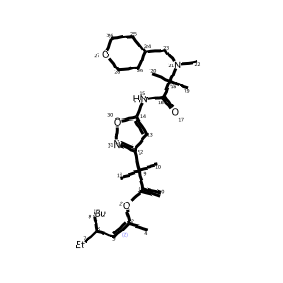 C=C(O/C(C)=C\C(CC)C(C)CC)C(C)(C)c1cc(NC(=O)C(C)(C)N(C)CC2CCOCC2)on1